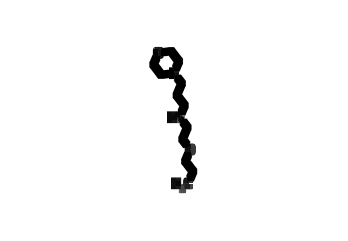 CCCOCCNCCCN1CCOCC1